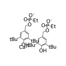 CCP(=O)([O-])OCc1cc(C(C)(C)C)c(O)c(C(C)(C)C)c1.CCP(=O)([O-])OCc1cc(C(C)(C)C)c(O)c(C(C)(C)C)c1.[Ca+2]